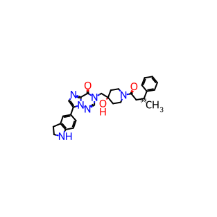 C[C@H](CC(=O)N1CCC(O)(Cn2cnn3c(-c4ccc5c(c4)CCN5)cnc3c2=O)CC1)c1ccccc1